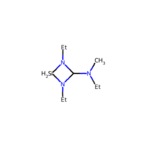 CCN(C)C1N(CC)[SiH2]N1CC